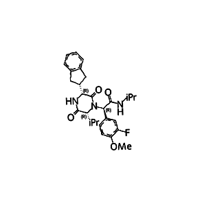 COc1ccc([C@H](C(=O)NC(C)C)N2C(=O)[C@@H](C3Cc4ccccc4C3)NC(=O)[C@H]2C(C)C)cc1F